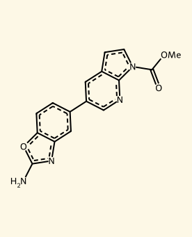 COC(=O)n1ccc2cc(-c3ccc4oc(N)nc4c3)cnc21